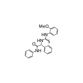 COc1ccccc1NC(=S)NC(C(=O)Nc1ccccc1)c1ccccc1